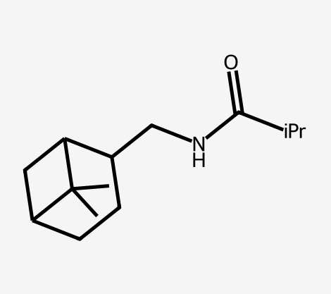 CC(C)C(=O)NCC1CCC2CC1C2(C)C